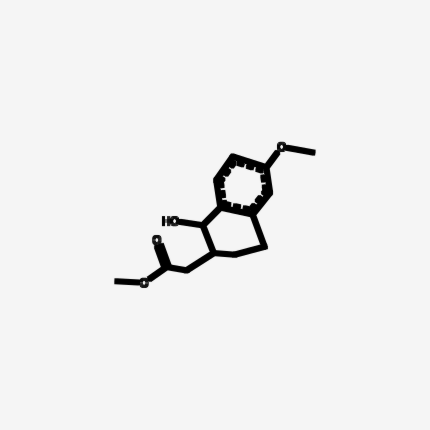 COC(=O)CC1CCc2cc(OC)ccc2C1O